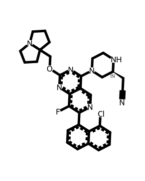 N#CC[C@H]1CN(c2nc(OCC34CCCN3CCC4)nc3c(F)c(-c4cccc5cccc(Cl)c45)ncc23)CCN1